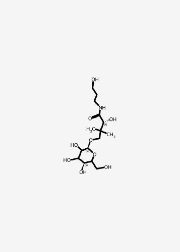 CC(C)(CO[C@H]1OC(CO)[C@@H](O)C(O)C1O)[C@@H](O)C(=O)NCCCO